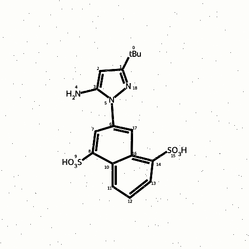 CC(C)(C)c1cc(N)n(-c2cc(S(=O)(=O)O)c3cccc(S(=O)(=O)O)c3c2)n1